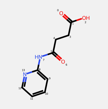 O=C(O)CCC(=O)Nc1ccccn1